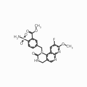 COC(=O)c1cc(CN2C(=O)NCc3cnc4nc(OC)c(F)cc4c32)ccc1S(N)(=O)=O